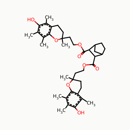 Cc1c(C)c2c(c(C)c1O)CCC(C)(CCOC(=O)C1C3CCC(C3)C1C(=O)OCCC1(C)CCc3c(C)c(O)c(C)c(C)c3O1)O2